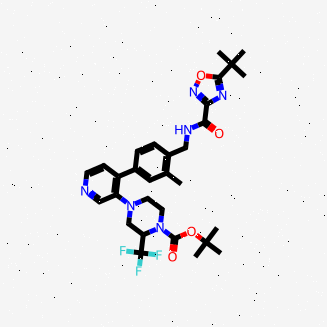 Cc1cc(-c2ccncc2N2CCN(C(=O)OC(C)(C)C)C(C(F)(F)F)C2)ccc1CNC(=O)c1noc(C(C)(C)C)n1